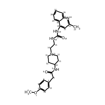 COc1ccc(CC(=O)NC2CCN(CCNC(=O)Nc3cc(C)nc4ccccc34)CC2)cc1